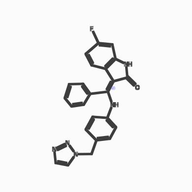 O=C1Nc2cc(F)ccc2/C1=C(/Nc1ccc(Cn2ccnn2)cc1)c1ccccc1